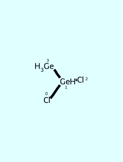 [Cl][GeH]([Cl])[GeH3]